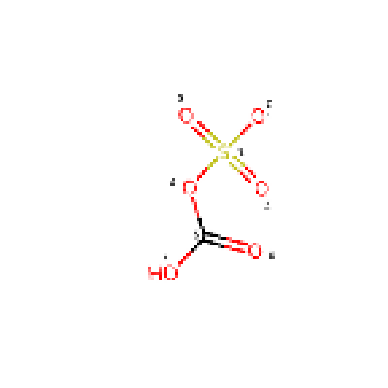 [O]S(=O)(=O)OC(=O)O